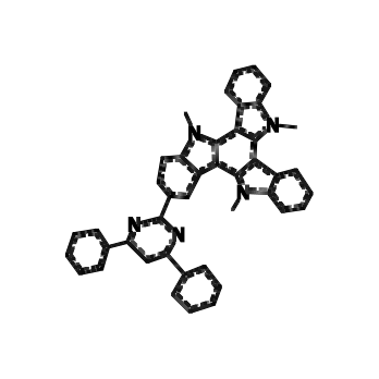 Cn1c2ccccc2c2c1c1c3ccccc3n(C)c1c1c3cc(-c4nc(-c5ccccc5)cc(-c5ccccc5)n4)ccc3n(C)c21